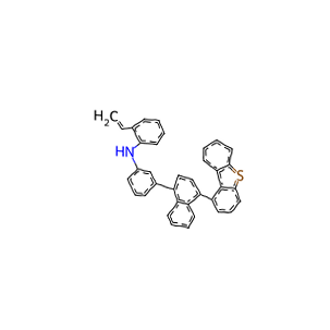 C=Cc1ccccc1Nc1cccc(-c2ccc(-c3cccc4sc5ccccc5c34)c3ccccc23)c1